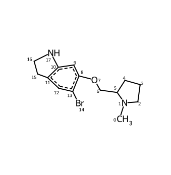 CN1CCCC1COc1cc2c(cc1Br)CCN2